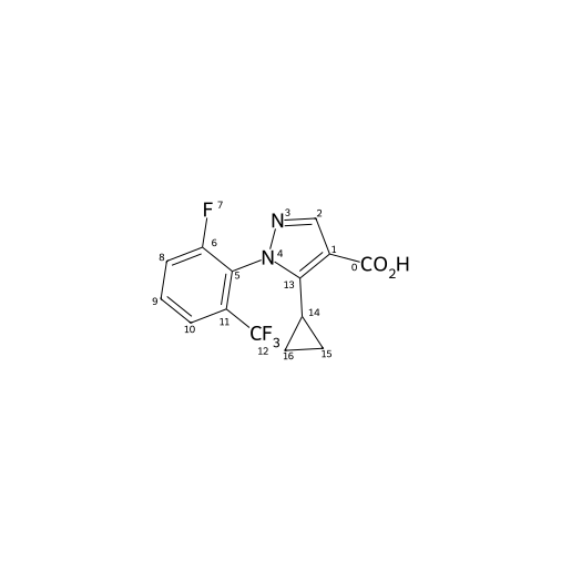 O=C(O)c1cnn(-c2c(F)cccc2C(F)(F)F)c1C1CC1